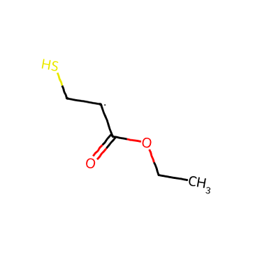 CCOC(=O)[CH]CS